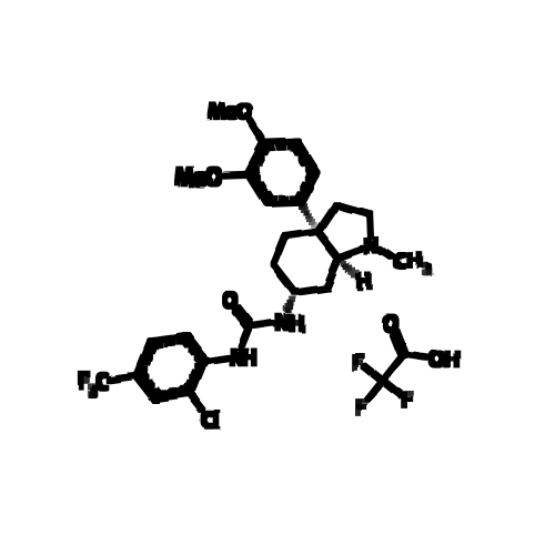 COc1ccc([C@@]23CC[C@@H](NC(=O)Nc4ccc(C(F)(F)F)cc4Cl)C[C@@H]2N(C)CC3)cc1OC.O=C(O)C(F)(F)F